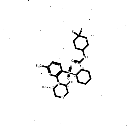 Cc1ccc(S(=O)(=O)[C@@H]2CCCC[C@H]2C(=O)NC2CCC(F)(F)CC2)c(N2[C@@H](C)COC[C@@H]2C)n1